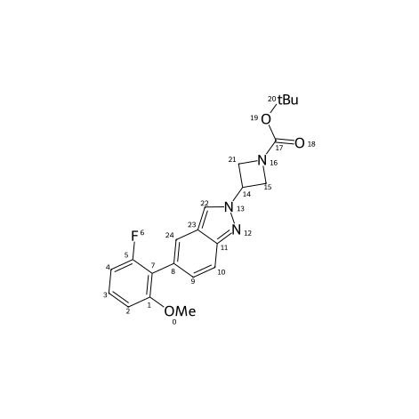 COc1cccc(F)c1-c1ccc2nn(C3CN(C(=O)OC(C)(C)C)C3)cc2c1